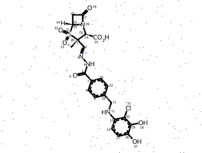 C[C@]1(/C=N/NC(=O)c2ccc(CNc3ccc(O)c(O)c3Cl)cc2)[C@H](C(=O)O)N2C(=O)C[C@H]2S1(=O)=O